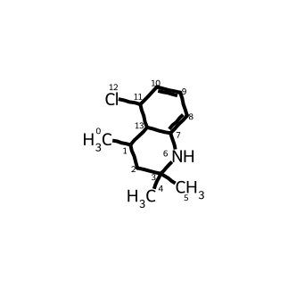 CC1CC(C)(C)NC2=CC=CC(Cl)C21